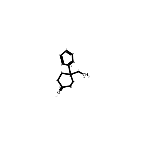 CCC1(c2ccccc2)CCC(=O)CC1